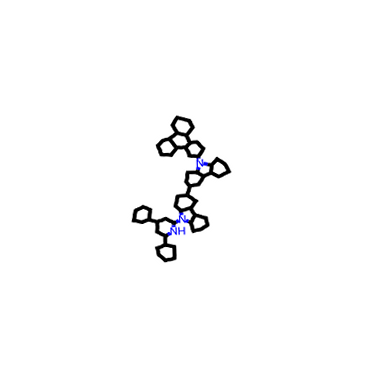 C1CCC(C2CC(C3CCCCC3)NC(N3C4CCCCC4C4CC(C5CCC6C(C5)C5CCCCC5N6C5CCC6C7CCCCC7C7CCCCC7C6C5)CCC43)C2)CC1